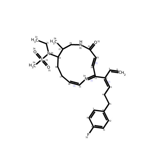 C=CC(=C/CCc1ccc(F)cc1)/C1=N\C=C/CCC(N(CC)S(C)(=O)=O)C(C)CNC(=O)\C=C\1